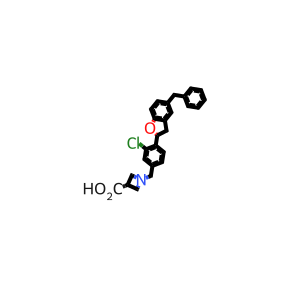 O=C(O)C1CN(Cc2ccc(C3Cc4cc(Cc5ccccc5)ccc4O3)c(Cl)c2)C1